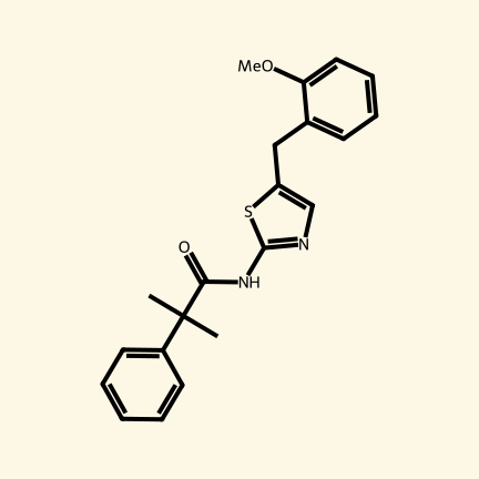 COc1ccccc1Cc1cnc(NC(=O)C(C)(C)c2ccccc2)s1